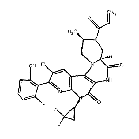 C=CC(=O)N1C[C@@H]2C(=O)Nc3c(c4cc(Cl)c(-c5c(O)cccc5F)nc4n([C@H]4CC4(F)F)c3=O)N2C[C@H]1C